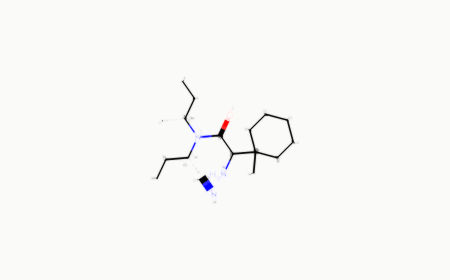 CC[C@@H](C)N(C(=O)C(N)C1(C)CCCCC1)[C@H](C#N)CC